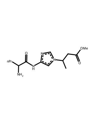 CCCC(N)C(=O)Nc1cn(C(C)CC(=O)OC)cn1